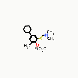 CCOC(=O)Oc1c(C)cc(C2CCCCC2)cc1SCN(C)C